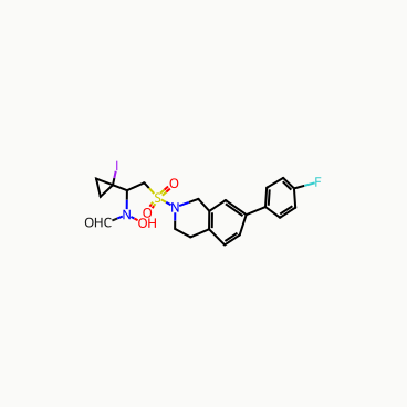 O=CN(O)C(CS(=O)(=O)N1CCc2ccc(-c3ccc(F)cc3)cc2C1)C1(I)CC1